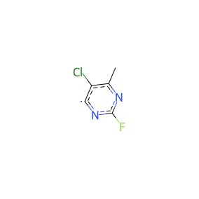 Cc1nc(F)n[c]c1Cl